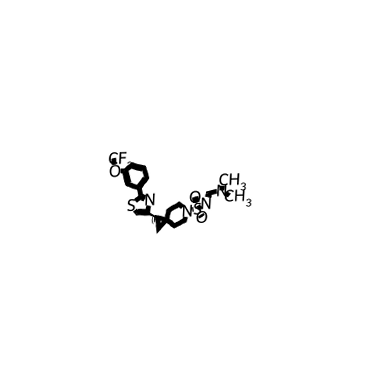 CN(C)C=NS(=O)(=O)N1CCC2(CC1)C[C@H]2c1csc(-c2cccc(OC(F)(F)F)c2)n1